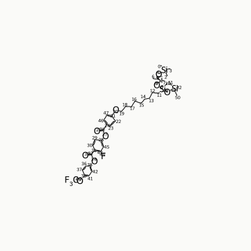 C[Si](C)(C)O[Si](C)(C)O[Si](C)(CCCCCCCCCOc1ccc(C(=O)Oc2ccc(C(=O)Oc3ccc(OC(F)(F)F)cc3)c(F)c2)cc1)O[Si](C)(C)C